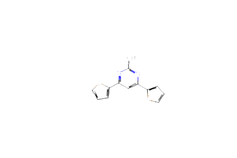 Cc1nc(-c2cccs2)cc(-c2cccs2)n1